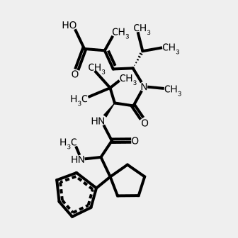 CNC(C(=O)N[C@H](C(=O)N(C)[C@H](/C=C(\C)C(=O)O)C(C)C)C(C)(C)C)C1(c2ccccc2)CCCC1